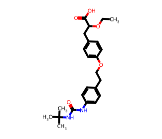 CCOC(Cc1ccc(OCCc2ccc(NC(=O)NC(C)(C)C)cc2)cc1)C(=O)O